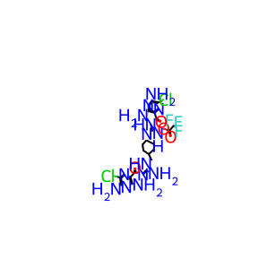 NC(=NC(=O)c1nc(Cl)c(N)nc1N)NCC1CCC(N=C(NOC(=O)C(F)(F)F)NC(=O)c2nc(Cl)c(N)nc2N)CC1